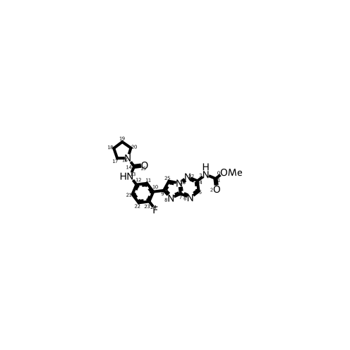 COC(=O)Nc1cnc2nc(-c3cc(NC(=O)N4CCCC4)ccc3F)cn2n1